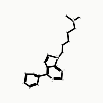 CN(C)CCCCCn1ccc2c(-c3ccccc3)ncnc21